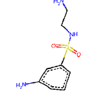 NCCNS(=O)(=O)c1cccc(N)c1